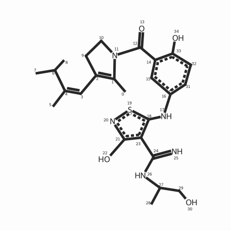 CC1=C(/C=C(/C)C(C)C)CCN1C(=O)c1cc(Nc2snc(O)c2C(=N)NC(C)CO)ccc1O